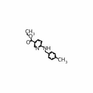 CCOC(=O)c1ccc(NCc2ccc(C)cc2)nc1